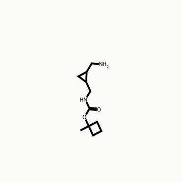 CC1(OC(=O)NCC2CC2CN)CCC1